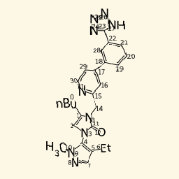 CCCCc1cn(-c2c(CC)cnn2C)c(=O)n1Cc1cc(-c2cccc(-c3nnn[nH]3)c2)ccn1